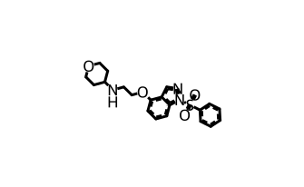 O=S(=O)(c1ccccc1)n1ncc2c(OCCNC3CCOCC3)cccc21